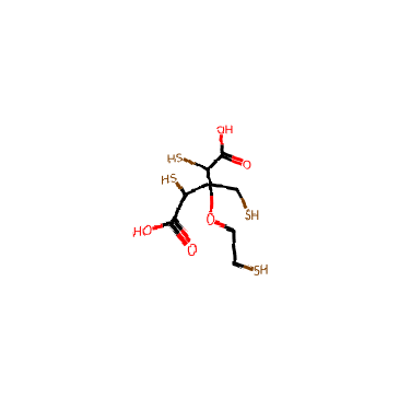 O=C(O)C(S)C(CS)(OCCS)C(S)C(=O)O